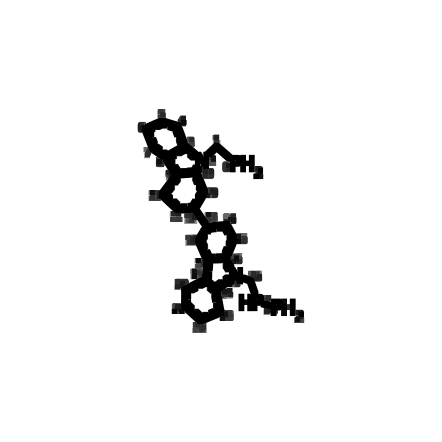 PCn1c2ccccc2c2ccc(-c3ccc4c(c3)c3ccccc3n4CPP)cc21